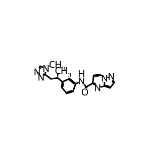 C[C@H](Cc1nncn1C)c1cccc(NC(=O)c2ccn3nccc3n2)c1